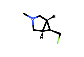 CN1C[C@@H]2[C@H](CF)[C@@H]2C1